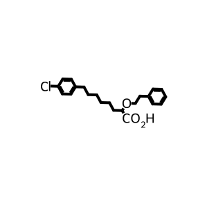 O=C(O)C(CCCCCCc1ccc(Cl)cc1)OCCc1ccccc1